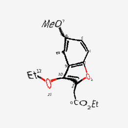 CCOC(=O)c1oc2ccc(OC)cc2c1OCC